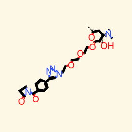 C[C@@H]1C[C@H](N(C)C)[C@@H](O)C(OCCOCCOCCn2cc(-c3ccc(C(=O)N4CCC4=O)cc3)nn2)O1